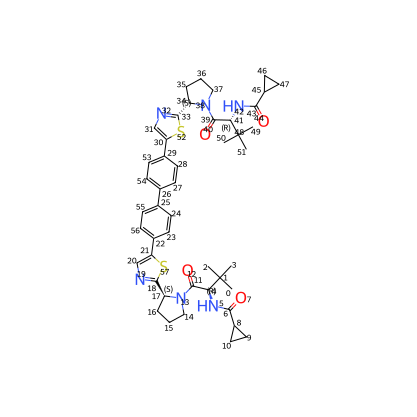 CC(C)(C)[C@@H](NC(=O)C1CC1)C(=O)N1CCC[C@H]1c1ncc(-c2ccc(-c3ccc(-c4cnc([C@@H]5CCCN5C(=O)[C@H](NC(=O)C5CC5)C(C)(C)C)s4)cc3)cc2)s1